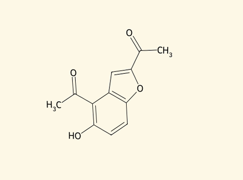 CC(=O)c1cc2c(C(C)=O)c(O)ccc2o1